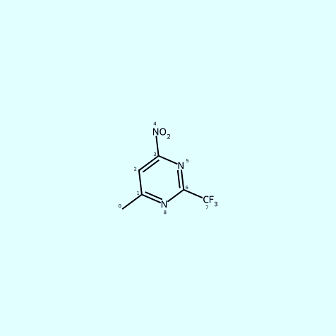 Cc1cc([N+](=O)[O-])nc(C(F)(F)F)n1